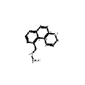 CC(=O)NOCc1cccc2ccc3c(c12)C=CCS3